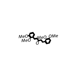 COc1cccc(/C=C/C(=O)CCc2cccc(OC)c2OC)c1OC